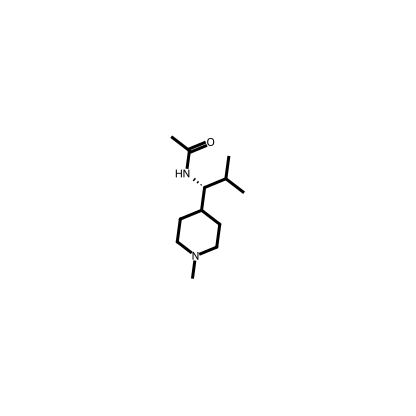 CC(=O)N[C@H](C(C)C)C1CCN(C)CC1